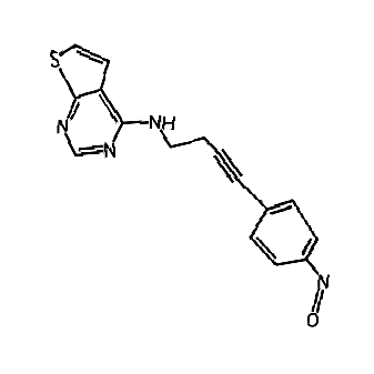 O=Nc1ccc(C#CCCNc2ncnc3sccc23)cc1